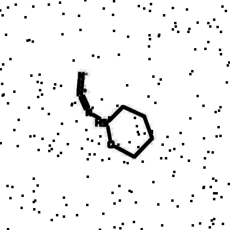 [N-]=[N+]=N[SiH]1CCCCO1